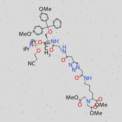 COC(=O)CN(CC(=O)OC)C(CCCCNC(=O)Cn1cc(CC(=O)NCCC(=O)N[C@H](COC(c2ccccc2)(c2ccc(OC)cc2)c2ccc(OC)cc2)[C@@H](C)OP(OCCC#N)N(C(C)C)C(C)C)nn1)C(=O)OC